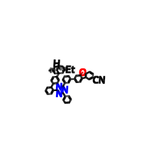 CC[C@@H]1C[C@@H]2C[C@H](C)CC(c3ccc(-c4ccccc4-c4nc(-c5ccccc5)nc(-c5cccc(-c6ccc7c(c6)oc6ccc(C#N)cc67)c5)n4)cc3)(C1)C2